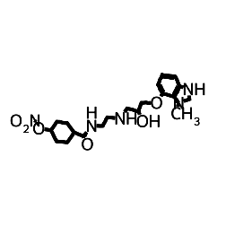 CN1CNc2cccc(OCC(O)CNCCNC(=O)C3CCC(O[N+](=O)[O-])CC3)c21